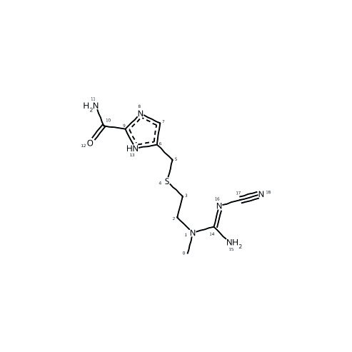 CN(CCSCc1cnc(C(N)=O)[nH]1)C(N)=NC#N